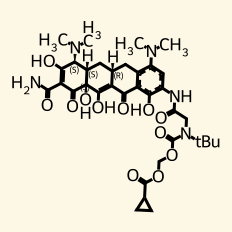 CN(C)c1cc(NC(=O)CN(C(=O)OCOC(=O)C2CC2)C(C)(C)C)c(O)c2c1C[C@H]1C[C@H]3[C@H](N(C)C)C(O)=C(C(N)=O)C(=O)[C@@]3(O)C(O)=C1C2=O